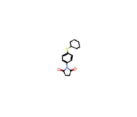 O=C1CCC(=O)N1c1ccc(SC2CCCCC2)cc1